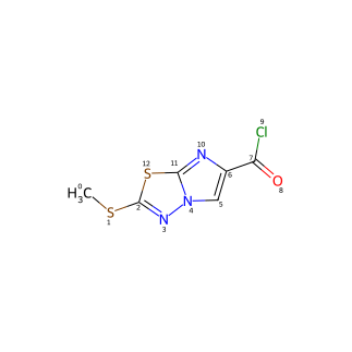 CSc1nn2cc(C(=O)Cl)nc2s1